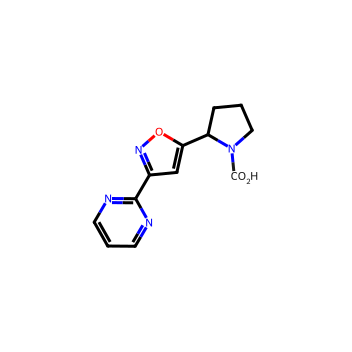 O=C(O)N1CCCC1c1cc(-c2ncccn2)no1